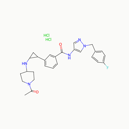 CC(=O)N1CCC(NC2CC2c2cccc(C(=O)Nc3cnn(Cc4ccc(F)cc4)c3)c2)CC1.Cl.Cl